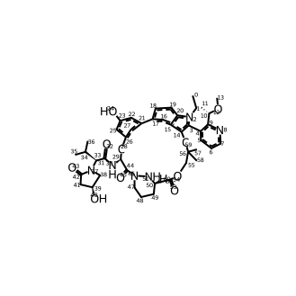 CCn1c(-c2cccnc2[C@H](C)OC)c2c3cc(ccc31)-c1cc(O)cc(c1)C[C@H](NC(=O)[C@H](C(C)C)N1C[C@@H](O)CC1=O)C(=O)N1CCC[C@H](N1)C(=O)OCC(C)(C)C2